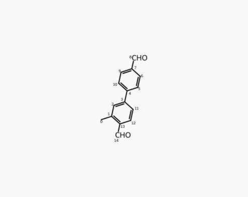 Cc1cc(-c2ccc(C=O)cc2)ccc1C=O